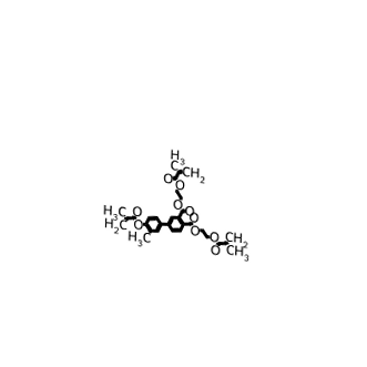 C=C(C)C(=O)OCCOC(=O)c1ccc(-c2ccc(OC(=O)C(=C)C)c(C)c2)cc1C(=O)OCCOC(=O)C(=C)C